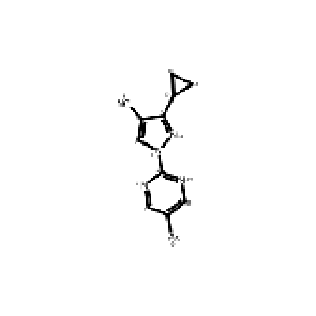 CC(=O)c1cnc(-n2cc(C#N)c(C3CC3)n2)nc1